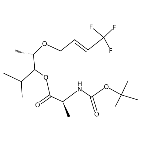 CC(C)C(OC(=O)[C@H](C)NC(=O)OC(C)(C)C)[C@H](C)OC/C=C/C(F)(F)F